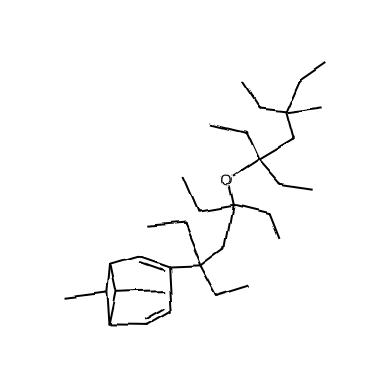 CCC(C)(CC)CC(CC)(CC)OC(CC)(CC)CC(CC)(CC)C1=CC2C(C)C(C=C1)C2C